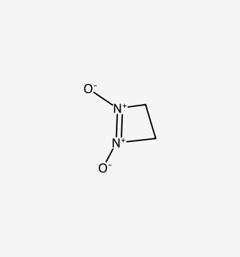 [O-][N+]1=[N+]([O-])CC1